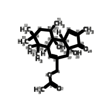 CC(=O)OCC1=C[C@H]2C(C)(C)C(C)(C)C[C@@H](C)[C@]2(O)[C@@H]2C=C(C)C(=O)[C@@]2(O)C1